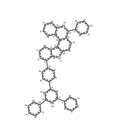 c1ccc(-c2cc(-c3ccc(-c4cccc5c4oc4ccc6c(-c7ccccc7)nc7ccccc7c6c45)cc3)nc(-c3ccccc3)n2)cc1